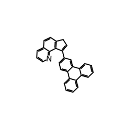 C1=C(c2ccc3c4ccccc4c4ccccc4c3c2)c2c(ccc3cccnc23)C1